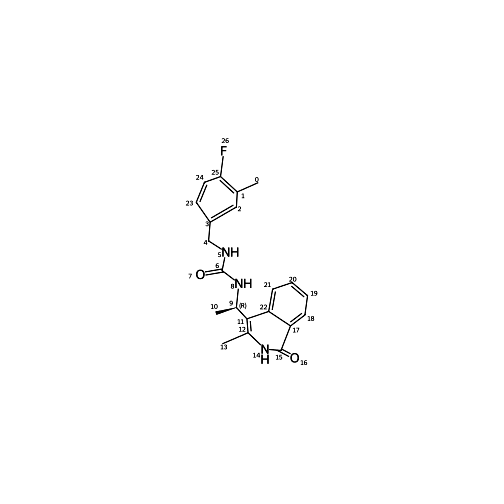 Cc1cc(CNC(=O)N[C@H](C)c2c(C)[nH]c(=O)c3ccccc23)ccc1F